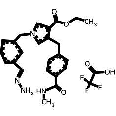 CCOC(=O)c1cn(Cc2cccc(C=NN)c2)cc1Cc1ccc(C(=O)NC)cc1.O=C(O)C(F)(F)F